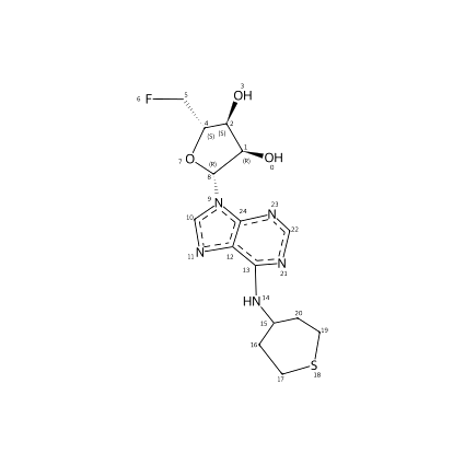 O[C@@H]1[C@H](O)[C@@H](CF)O[C@H]1n1cnc2c(NC3CCSCC3)ncnc21